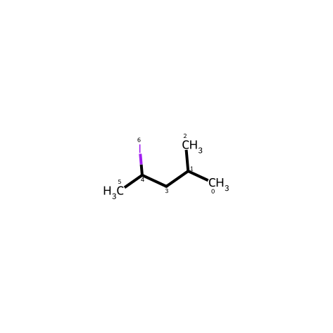 CC(C)CC(C)I